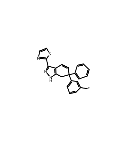 Fc1cccc(C2(c3ccccc3)C=Cc3c(-c4nccs4)n[nH]c3C2)c1